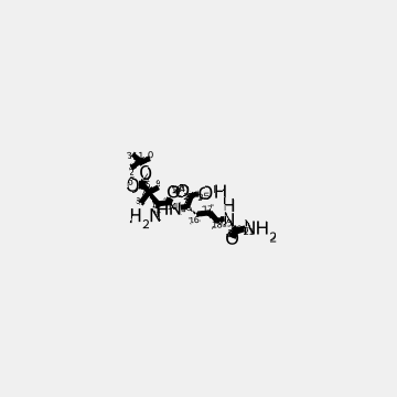 CC(C)(C)OC(=O)C(C)(C)[C@H](N)C(=O)N[C@@H](CCCNC(N)=O)C(=O)O